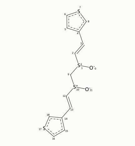 [O-][S+](/C=C/c1ccsc1)C[S+]([O-])/C=C/c1ccsc1